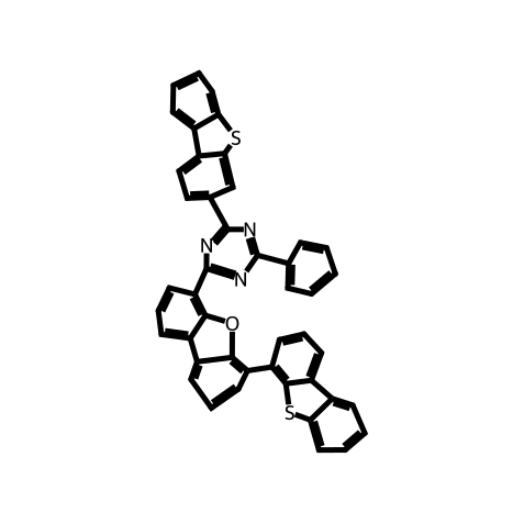 c1ccc(-c2nc(-c3ccc4c(c3)sc3ccccc34)nc(-c3cccc4c3oc3c(-c5cccc6c5sc5ccccc56)cccc34)n2)cc1